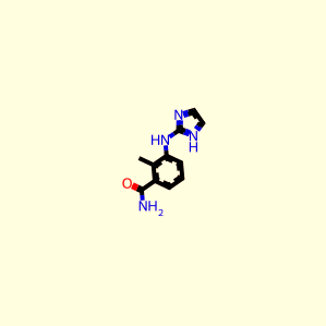 Cc1c(Nc2ncc[nH]2)cccc1C(N)=O